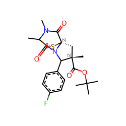 CN1C(=O)[C@@]23C[C@](C)(C(=O)OC(C)(C)C)C(c4ccc(F)cc4)N2C(=O)C1(C)SS3